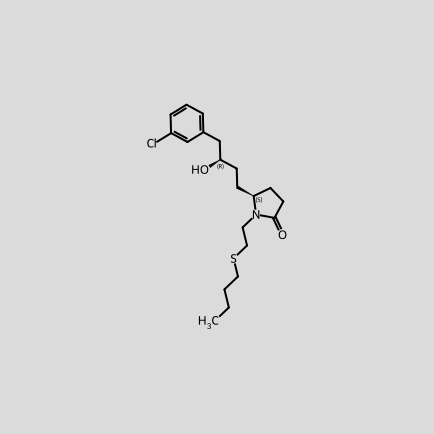 CCCCSCCN1C(=O)CC[C@@H]1CC[C@@H](O)Cc1cccc(Cl)c1